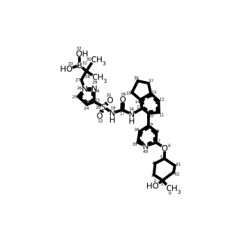 CC1(O)CCC(Oc2cc(-c3ccc4c(c3NC(=O)NS(=O)(=O)c3ccn(CC(C)(C)B(O)O)n3)CCC4)ccn2)CC1